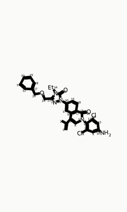 C=C(C)c1cn(-c2c(Cl)cc(N)cc2Cl)c(=O)c2ccc(-n3nc(COCc4ccccc4)n(CC)c3=O)cc12